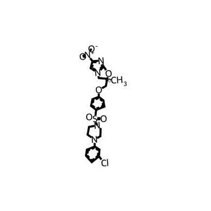 C[C@]1(COc2ccc(S(=O)(=O)N3CCN(c4cccc(Cl)c4)CC3)cc2)Cn2cc([N+](=O)[O-])nc2O1